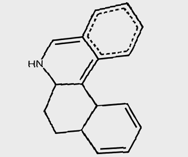 C1=CC2CCC3NC=c4ccccc4=C3C2C=C1